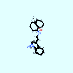 O[C@]12CCCC[C@@H]1CCCC2NCCc1c[nH]c2ccccc12